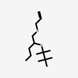 C=CCOCC(CCC)OC(C)(C)C(C)(C)C